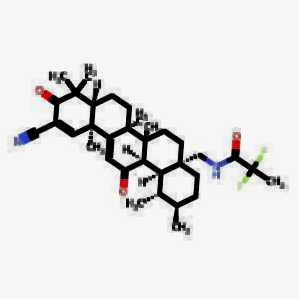 C[C@@H]1[C@H]2[C@H]3C(=O)C=C4[C@@]5(C)C=C(C#N)C(=O)C(C)(C)[C@@H]5CC[C@@]4(C)[C@]3(C)CC[C@@]2(CNC(=O)C(C)(F)F)CC[C@H]1C